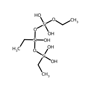 CCO[Si](O)(O)O[Si](O)(CC)O[Si](O)(O)CC